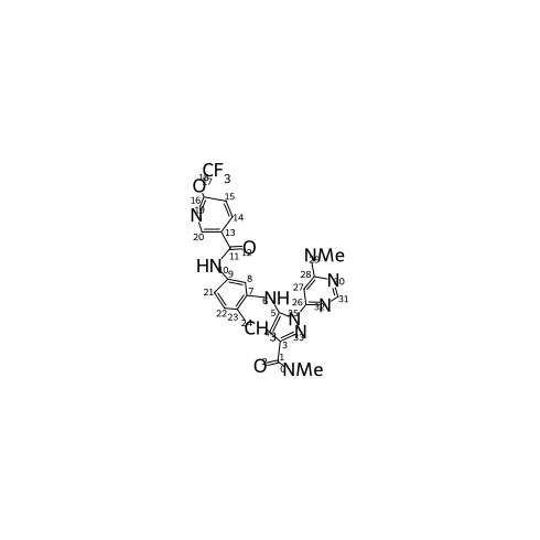 CNC(=O)c1cc(Nc2cc(NC(=O)c3ccc(OC(F)(F)F)nc3)ccc2C)n(-c2cc(NC)ncn2)n1